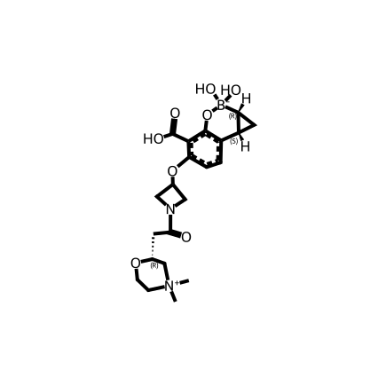 C[N+]1(C)CCO[C@H](CC(=O)N2CC(Oc3ccc4c(c3C(=O)O)O[B-](O)(O)[C@@H]3C[C@H]43)C2)C1